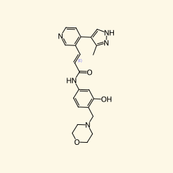 Cc1n[nH]cc1-c1ccncc1/C=C/C(=O)Nc1ccc(CN2CCOCC2)c(O)c1